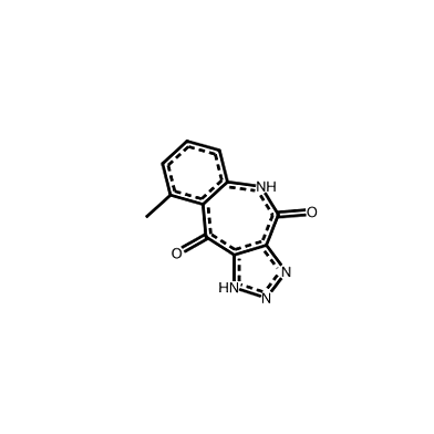 Cc1cccc2[nH]c(=O)c3nn[nH]c3c(=O)c12